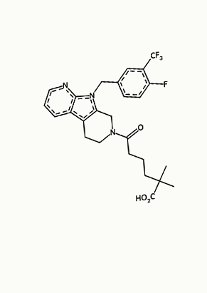 CC(C)(CCCC(=O)N1CCc2c(n(Cc3ccc(F)c(C(F)(F)F)c3)c3ncccc23)C1)C(=O)O